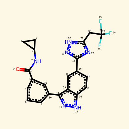 O=C(NC1CC1)c1cccc(-c2n[nH]c3ccc(-c4n[nH]c(CC(F)(F)F)n4)cc23)c1